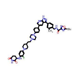 Cc1cc(-c2n[nH]c3ncc(-c4ccc(N5CCN(CCC6CCN(c7ccc(NC8CCC(=O)NC8=O)c(F)c7)CC6)CC5)cc4)cc23)ccc1CNC(=O)c1noc(C(C)(C)C)n1